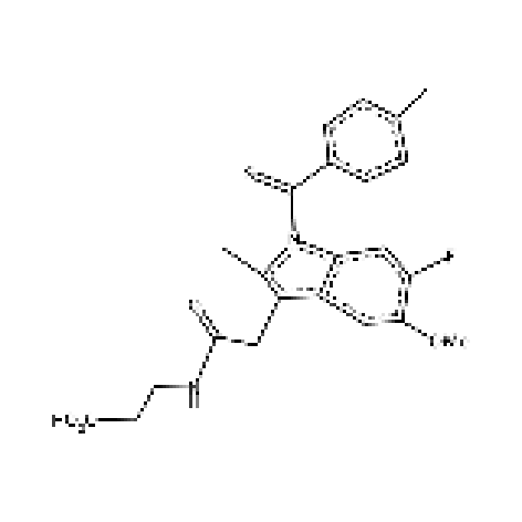 COc1cc2c(CC(=O)NCCC(=O)O)c(C)n(C(=S)c3ccc(C)cc3)c2cc1F